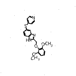 COc1cccc(OC)c1OCc1nc2cc(Sc3ccncc3)ccc2[nH]1